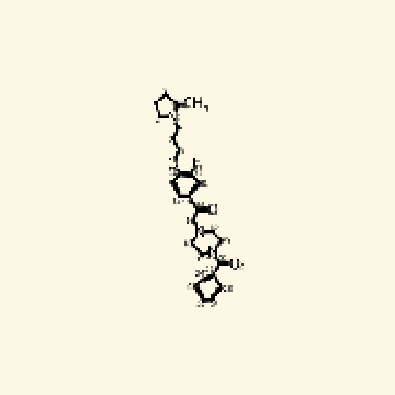 C[C@@H]1CCCN1CCCOc1ccc(C(=O)CN2CCN(C(=O)c3ccccc3)CC2)cc1F